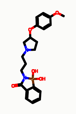 COc1ccc(OC2CCN(CCCN3C(=O)c4ccccc4S3(O)O)C2)cc1